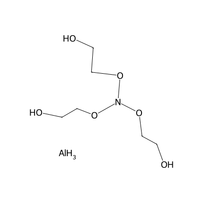 OCCON(OCCO)OCCO.[AlH3]